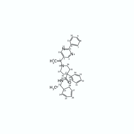 C=C(c1cnc(-c2ccccc2)nc1)N1CCC(C(=O)N[C@@H](C)C2C=CC=CC2)(c2ccccc2)CC1